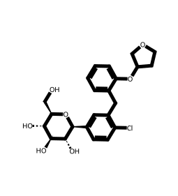 OC[C@H]1O[C@@H](c2ccc(Cl)c(Cc3ccccc3OC3CCOC3)c2)[C@H](O)[C@@H](O)[C@@H]1O